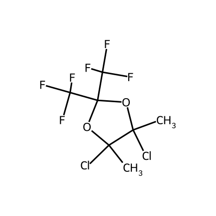 CC1(Cl)OC(C(F)(F)F)(C(F)(F)F)OC1(C)Cl